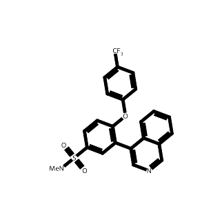 CNS(=O)(=O)c1ccc(Oc2ccc(C(F)(F)F)cc2)c(-c2cncc3ccccc23)c1